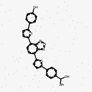 CCCC(O)c1ccc(-c2ccc(-c3ccc(-c4ccc(-c5ccc(O)cc5)s4)c4nsnc34)s2)cc1